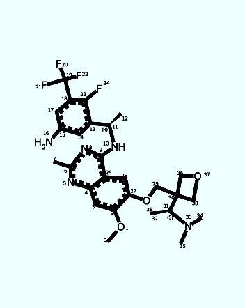 COc1cc2nc(C)nc(N[C@H](C)c3cc(N)cc(C(F)(F)F)c3F)c2cc1OCC1([C@H](C)N(C)C)COC1